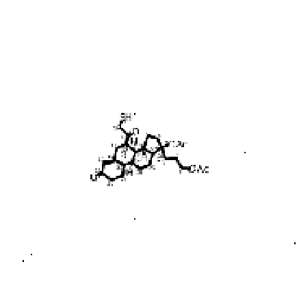 CC(=O)OCCCC1(OC(C)=O)CC[C@H]2[C@@H]3C(C(=O)CS)CC4=CC(=O)CC[C@]4(C)[C@@H]3CC[C@@]21C